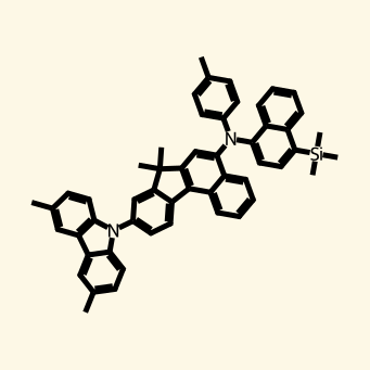 Cc1ccc(N(c2ccc([Si](C)(C)C)c3ccccc23)c2cc3c(c4ccccc24)-c2ccc(-n4c5ccc(C)cc5c5cc(C)ccc54)cc2C3(C)C)cc1